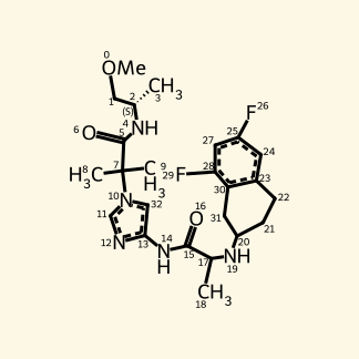 COC[C@H](C)NC(=O)C(C)(C)n1cnc(NC(=O)C(C)NC2CCc3cc(F)cc(F)c3C2)c1